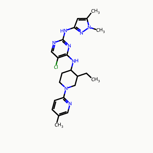 CCC1CN(c2ccc(C)cn2)CCC1Nc1nc(Nc2cc(C)n(C)n2)ncc1Cl